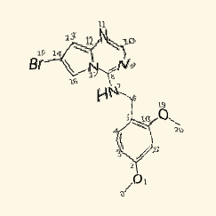 COc1ccc(CNc2ncnc3cc(Br)cn23)c(OC)c1